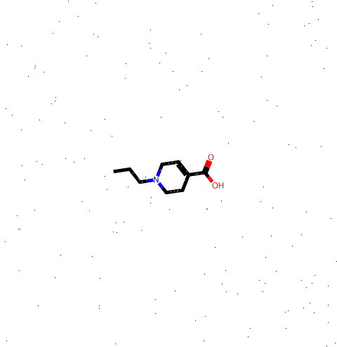 CCCN1CC=C(C(=O)O)CC1